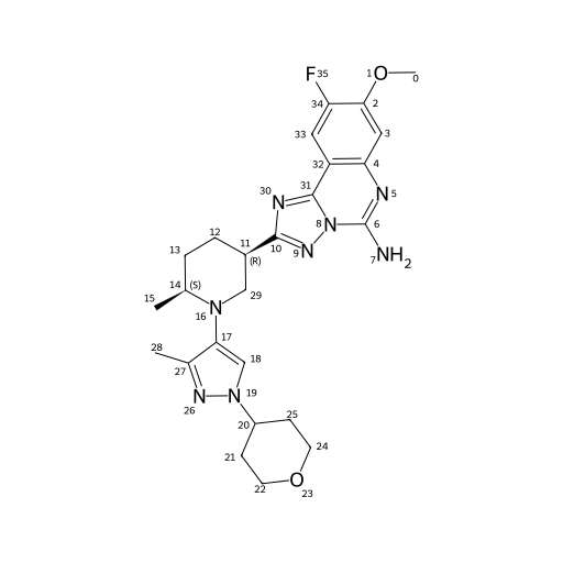 COc1cc2nc(N)n3nc([C@@H]4CC[C@H](C)N(c5cn(C6CCOCC6)nc5C)C4)nc3c2cc1F